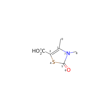 Cc1c(C(=O)O)sc(=O)n1C